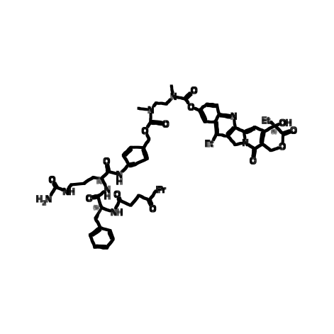 CCc1c2c(nc3ccc(OC(=O)N(C)CCN(C)C(=O)OCc4ccc(NC(=O)[C@H](CCCNC(N)=O)NC(=O)[C@H](Cc5ccccc5)NC(=O)CCC(=O)C(C)C)cc4)cc13)-c1cc3c(c(=O)n1C2)COC(=O)[C@]3(O)CC